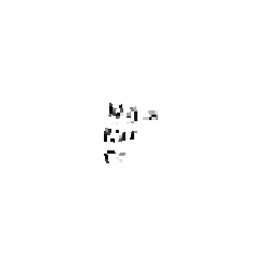 [Ce].[La].[Mg].[Mn]